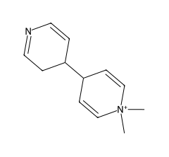 C[N+]1(C)C=CC(C2C=CN=CC2)C=C1